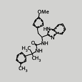 COc1ccc(CC(NC(=O)NC(C)(C)c2cccc(C)c2)c2nc3ccccc3[nH]2)cc1